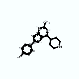 Cc1nc(C2CCNCC2)c2sc(-c3ccc(F)cc3)cc2n1